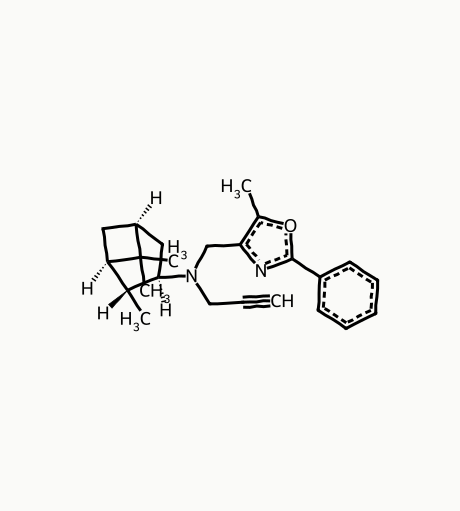 C#CCN(Cc1nc(-c2ccccc2)oc1C)[C@@H]1C[C@@H]2C[C@H]([C@H]1C)C2(C)C